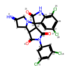 N=C1CC2C3C(=O)N(c4cc(Cl)cc(Cl)c4)C(=O)C3C3(C(=O)Nc4c(Cl)cc(Cl)cc43)N2C1